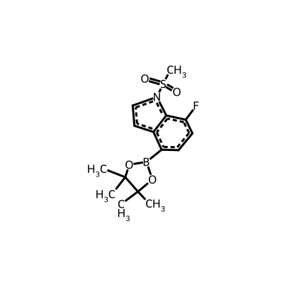 CC1(C)OB(c2ccc(F)c3c2ccn3S(C)(=O)=O)OC1(C)C